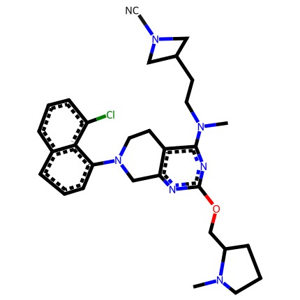 CN(CCC1CN(C#N)C1)c1nc(OCC2CCCN2C)nc2c1CCN(c1cccc3cccc(Cl)c13)C2